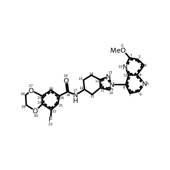 COc1ccc2nccc(-n3cc4c(n3)CCC(NC(=O)c3cc(F)c5c(c3)OCCO5)C4)c2n1